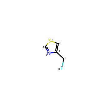 FCc1cs[c]n1